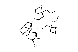 CCCC1(CCOC(=C(C)C(=O)O)C23CC4CC(CC(OCCC5(CCC)CCO5)(C4)C2)C3)CCO1